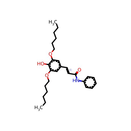 CCCCCCOc1cc(/C=C/C(=O)Nc2ccccc2)cc(OCCCCCC)c1O